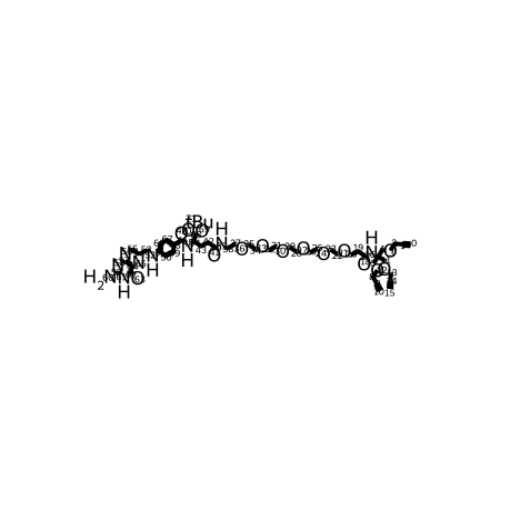 C#CCOCC(COCC#C)(COCC#C)NC(=O)CCOCCOCCOCCOCCOCCOCCNC(=O)CCC(NC(=O)c1ccc(NCc2cnc3nc(N)[nH]c(=O)c3n2)cc1)C(=O)OC(C)(C)C